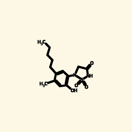 CCCCCc1cc(N2CC(=O)NS2(=O)=O)c(O)cc1C